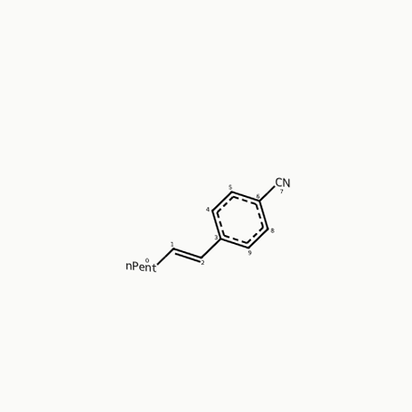 CCCCC/C=C/c1ccc(C#N)cc1